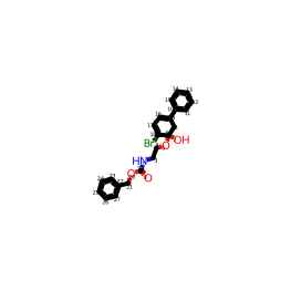 O=C(NCCOC1(O)CC(c2ccccc2)=CC=C1Br)OCc1ccccc1